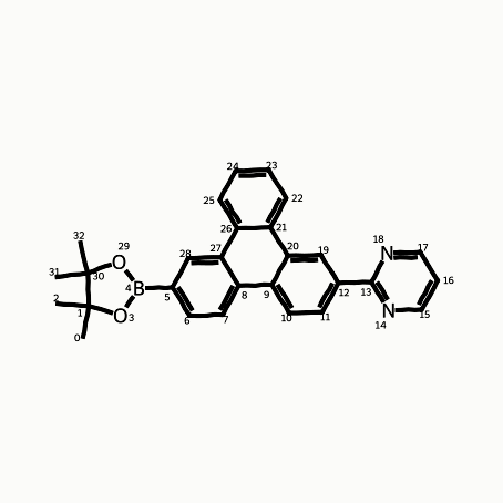 CC1(C)OB(c2ccc3c4ccc(-c5ncccn5)cc4c4ccccc4c3c2)OC1(C)C